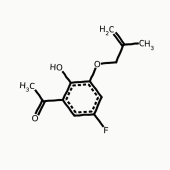 C=C(C)COc1cc(F)cc(C(C)=O)c1O